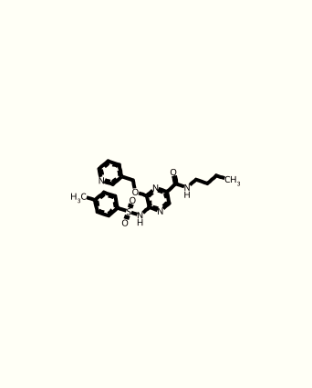 CCCCNC(=O)c1cnc(NS(=O)(=O)c2ccc(C)cc2)c(OCc2cccnc2)n1